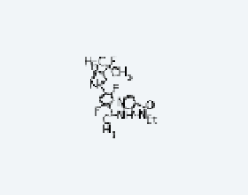 CCN1Cc2c(ccnc2N[C@@H](C)c2cc(F)c(-c3cc(C(C)(C)F)c(F)cn3)cc2F)C1=O